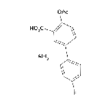 CC(=O)Oc1ccc(-c2ccc(F)cc2)cc1C(=O)O.[AlH3]